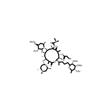 CON=C1C[C@@H](C)O[C@@H](O[C@@H]2[C@@H](C)[C@H](O[C@H]3C[C@@H](C)N(C)C[C@H](C)O3)C(C)C(=O)O[C@H](C(C)CCCC3OC(C)[C@@H](OC(C)=O)[C@@H](OC)[C@H]3OC)[C@H](C)[C@@H](OC(=O)CC(C)C)C(C)C(=O)[C@@](C)(OC(=O)N(C)C)C[C@@H]2C)[C@@H]1OC(C)=O